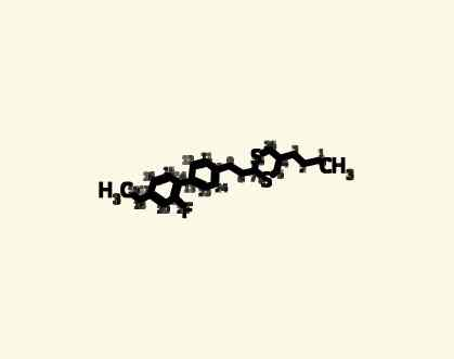 CCCCC1CSC(CCc2ccc(-c3ccc(CC)cc3F)cc2)SC1